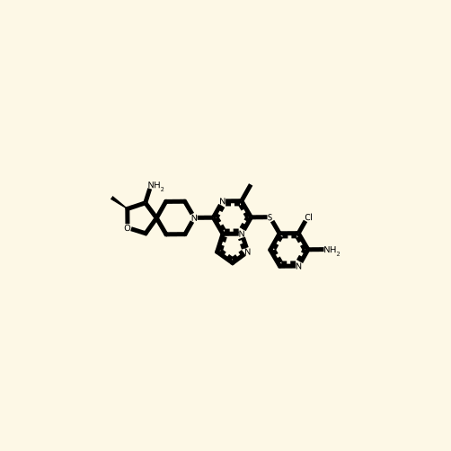 Cc1nc(N2CCC3(CC2)CO[C@@H](C)C3N)c2ccnn2c1Sc1ccnc(N)c1Cl